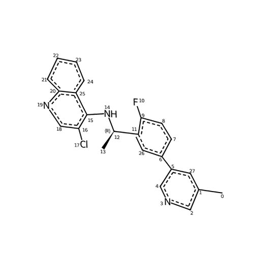 Cc1cncc(-c2ccc(F)c([C@@H](C)Nc3c(Cl)cnc4ccccc34)c2)c1